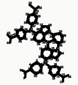 CC(C)c1ccc(N(c2ccc(C(C)C)cc2)c2ccc3c4c2ccn4-c2cccc4c2B3c2ccc(N(c3ccc(C(C)C)cc3)c3ccc(C(C)C)cc3)c3ccn-4c23)cc1